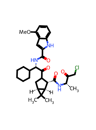 COc1cccc2[nH]c(C(=O)N[C@H](C(=O)C3C[C@H]4[C@@H]([C@H]3C(=O)N[C@@H](C)C(=O)CCl)C4(C)C)C3CCCCC3)cc12